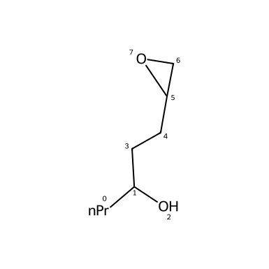 CCCC(O)CCC1CO1